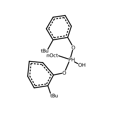 CCCCCCCC[PH](O)(Oc1ccccc1C(C)(C)C)Oc1ccccc1C(C)(C)C